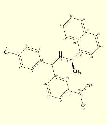 C[C@@H](NC(c1ccc(Cl)cc1)c1cccc([N+](=O)[O-])c1)c1cccc2ccccc12